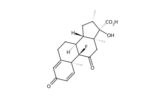 C[C@H]1C[C@H]2[C@@H]3CCC4=CC(=O)C=C[C@]4(C)[C@@]3(F)C(=O)C[C@]2(C)[C@@]1(O)C(=O)O